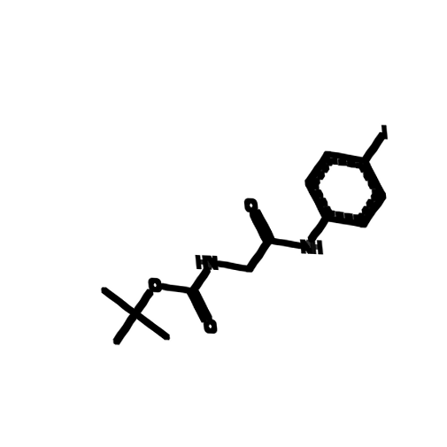 CC(C)(C)OC(=O)NCC(=O)Nc1ccc(I)cc1